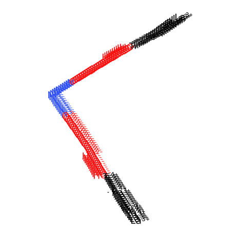 [Fe+3].[Fe+3].[Fe+3].[Fe+3].[Fe+3].[Fe+3].[Fe+3].[Fe+3].[Fe+3].[Fe+3].[Fe+3].[Fe+3].[Fe+3].[Fe+3].[Fe+3].[Fe+3].[La+3].[La+3].[La+3].[La+3].[La+3].[La+3].[La+3].[La+3].[N-3].[N-3].[N-3].[N-3].[N-3].[N-3].[N-3].[N-3].[N-3].[N-3].[N-3].[N-3].[N-3].[N-3].[N-3].[N-3].[N-3].[N-3].[N-3].[N-3].[N-3].[O-2].[O-2].[O-2].[O-2].[O-2].[O-2].[O-2].[O-2].[O-2].[O-2].[O-2].[O-2].[O-2].[O-2].[O-2].[O-2].[O-2].[O-2].[O-2].[O-2].[O-2].[O-2].[O-2].[O-2].[O-2].[O-2].[O-2].[O-2].[O-2].[O-2].[O-2].[O-2].[O-2].[O-2].[O-2].[O-2].[O-2].[O-2].[O-2].[O-2].[O-2].[O-2].[OH-].[OH-].[OH-].[OH-].[OH-].[OH-].[OH-].[OH-].[OH-].[OH-].[OH-].[OH-].[OH-].[OH-].[OH-].[OH-].[OH-].[OH-].[OH-].[OH-].[OH-].[Ru+4].[Ru+4].[Ru+4].[Ru+4].[Ru+4].[Ru+4].[Ru+4].[Ru+4].[Ti+4].[Ti+4].[Ti+4].[Ti+4].[Ti+4].[Ti+4].[Ti+4].[Ti+4].[Ti+4].[Ti+4].[Ti+4].[Ti+4].[Ti+4].[Ti+4].[Ti+4].[Ti+4]